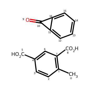 Cc1ccc(C(=O)O)cc1C(=O)O.O=c1c2ccccc12